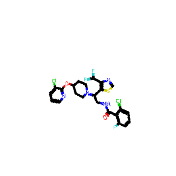 O=C(NCC(c1scnc1C(F)F)N1CCC(Oc2ncccc2Cl)CC1)c1c(F)cccc1Cl